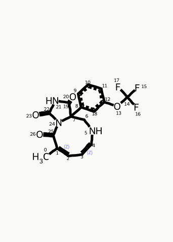 C/C1=C/C=C\NCC2(c3cccc(OC(F)(F)F)c3)C(=O)NC(=O)N2C1=O